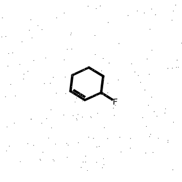 F[C]1C=CCCC1